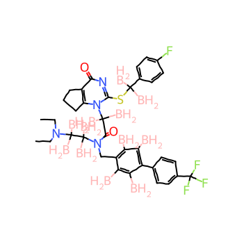 Bc1c(B)c(-c2ccc(C(F)(F)F)cc2)c(B)c(B)c1CN(C(=O)C(B)(B)n1c(SC(B)(B)c2ccc(F)cc2)nc(=O)c2c1CCC2)C(B)(B)C(B)(B)N(CC)CC